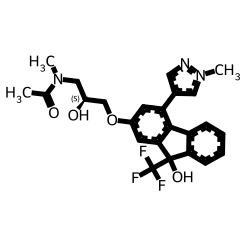 CC(=O)N(C)C[C@H](O)COc1cc(-c2cnn(C)c2)c2c(c1)C(O)(C(F)(F)F)c1ccccc1-2